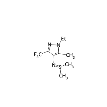 CCn1nc(C(F)(F)F)c(N=S(C)C)c1C